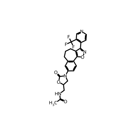 CC(=O)NCC1CN(c2ccc3c(c2)CCCc2c(-c4ccncc4C(F)(F)F)noc2-3)C(=O)O1